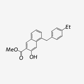 CCc1ccc(Cc2cccc3cc(C(=O)OC)c(O)cc23)cc1